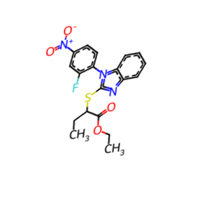 CCOC(=O)C(CC)Sc1nc2ccccc2n1-c1ccc([N+](=O)[O-])cc1F